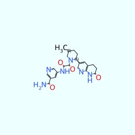 C[C@@H]1CC[C@@H](c2cnc3c(c2)CCC(=O)N3)N(C(=O)C(=O)Nc2cncc(C(N)=O)c2)C1